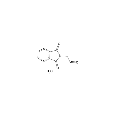 O.O=CCN1C(=O)c2ccccc2C1=O